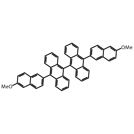 COc1ccc2cc(-c3c4ccccc4c(-c4c5ccccc5c(-c5ccc6cc(OC)ccc6c5)c5ccccc45)c4ccccc34)ccc2c1